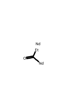 CC[C](=O)[Nd].[Nd]